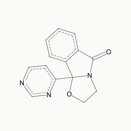 O=C1c2ccccc2C2(c3ccncn3)OCCN12